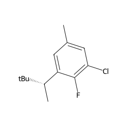 Cc1cc(Cl)c(F)c([C@H](C)C(C)(C)C)c1